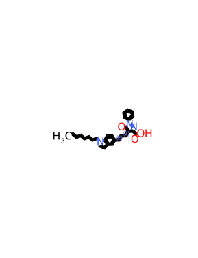 CCCCCCCCN1CCc2cc(/C=C/C=C3\C(=O)N(c4ccccc4)N=C3C(=O)O)ccc21